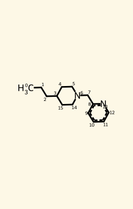 CCCC1CCN(Cc2ccccn2)CC1